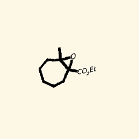 CCOC(=O)C12CCCCCC1(C)O2